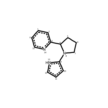 c1ccc(C2CCCN2c2ccc[nH]2)nc1